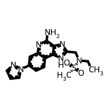 CCN(Cc1nc2c(N)nc3cc(-n4cccn4)ccc3c2[nH]1)S(C)(=O)=O